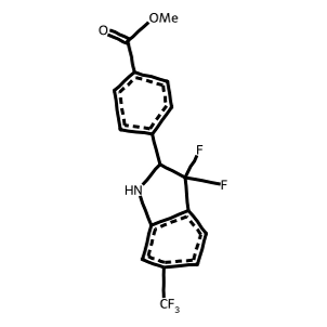 COC(=O)c1ccc(C2Nc3cc(C(F)(F)F)ccc3C2(F)F)cc1